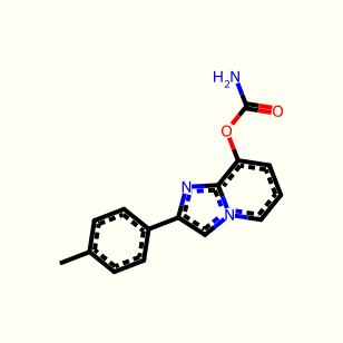 Cc1ccc(-c2cn3cccc(OC(N)=O)c3n2)cc1